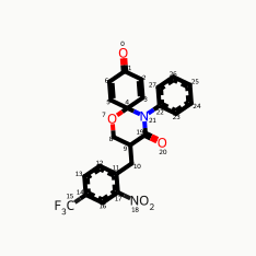 O=C1C=CC2(C=C1)OCC(Cc1ccc(C(F)(F)F)cc1[N+](=O)[O-])C(=O)N2c1ccccc1